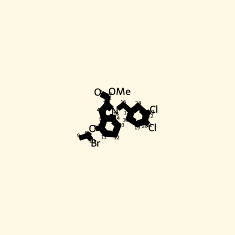 COC(=O)c1cc2c(OC(C)Br)cccc2n1Cc1ccc(Cl)c(Cl)c1